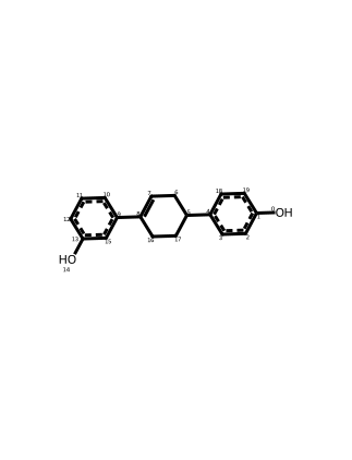 Oc1ccc(C2CC=C(c3cccc(O)c3)CC2)cc1